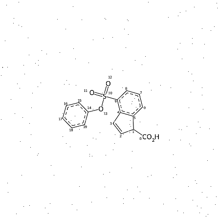 O=C(O)C1C=Cc2c1cccc2S(=O)(=O)Oc1ccccc1